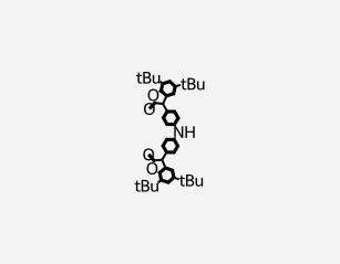 CC(C)(C)c1cc2c(c(C(C)(C)C)c1)OC(=O)C2c1ccc(Nc2ccc(C3C(=O)Oc4c3cc(C(C)(C)C)cc4C(C)(C)C)cc2)cc1